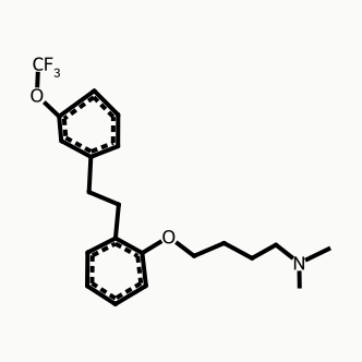 CN(C)CCCCOc1ccccc1CCc1cccc(OC(F)(F)F)c1